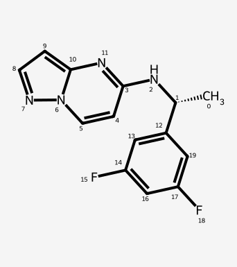 C[C@@H](Nc1ccn2nccc2n1)c1cc(F)cc(F)c1